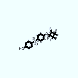 O=S(=O)(c1ccc(O)cc1)c1ccc(OC2(F)C(F)C(F)(F)C2(F)F)cc1